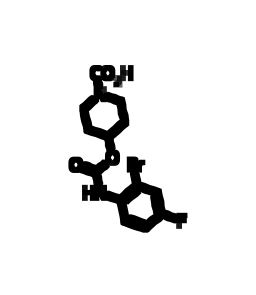 O=C(Nc1ccc(F)cc1Br)OC1CCN(C(=O)O)CC1